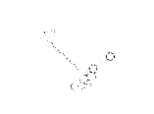 CC(C)(C)[Si](C)(C)OCCCCCCCCCCO[C@H]1C[C@@]2(C)[C@@H](CCC23OCCO3)[C@@H]2CCc3cc(OCc4ccccc4)ccc3[C@H]21